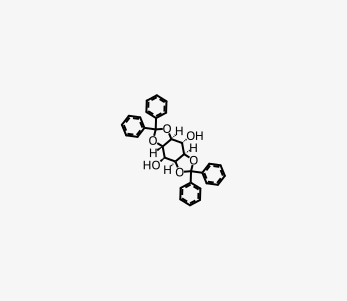 O[C@@H]1[C@H]2OC(c3ccccc3)(c3ccccc3)O[C@H]2[C@@H](O)[C@@H]2OC(c3ccccc3)(c3ccccc3)O[C@@H]12